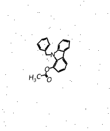 CC(=O)Oc1cccc2c3ccccc3n(Cc3ccccc3)c12